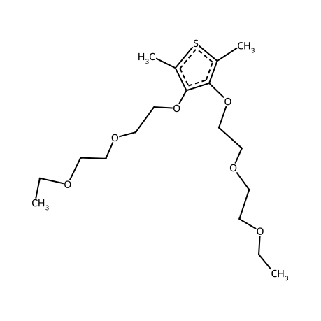 CCOCCOCCOc1c(C)sc(C)c1OCCOCCOCC